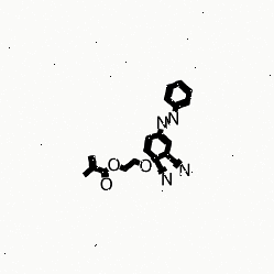 C=C(C)C(=O)OCCOC1(C#N)C=CC(N=Nc2ccccc2)=CC1C#N